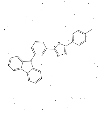 Cc1ccc(-c2nnc(-c3cccc(-n4c5ccccc5c5ccccc54)c3)o2)cc1